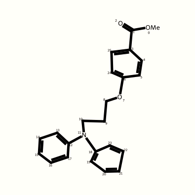 COC(=O)c1ccc(OCCCN(c2ccccc2)c2ccccc2)cc1